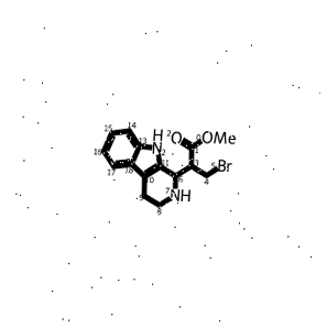 COC(=O)C(CBr)C1NCCc2c1[nH]c1ccccc21